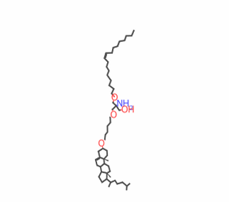 CCCCCCCC/C=C\CCCCCCCCOCC(N)(CO)COCCCCCCO[C@H]1CC[C@@]2(C)C(=CCC3C4CCC(C(C)CCCC(C)C)[C@@]4(C)CCC32)C1